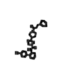 CCc1ccc(-c2ccccc2NC(=O)c2csc(C3CCN(C(=O)CCc4ccccc4)CC3)n2)cc1